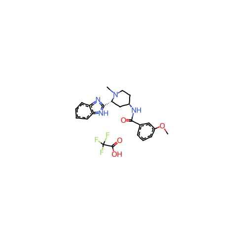 COc1cccc(C(=O)N[C@@H]2CCN(C)[C@@H](c3nc4ccccc4[nH]3)C2)c1.O=C(O)C(F)(F)F